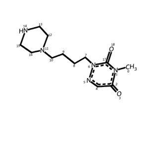 Cn1c(=O)cnn(CCCCN2CCNCC2)c1=O